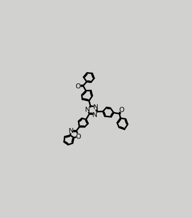 O=C(c1ccccc1)c1ccc(-c2nc(-c3ccc(C(=O)c4ccccc4)cc3)nc(-c3ccc(-c4nc5ccccc5o4)cc3)n2)cc1